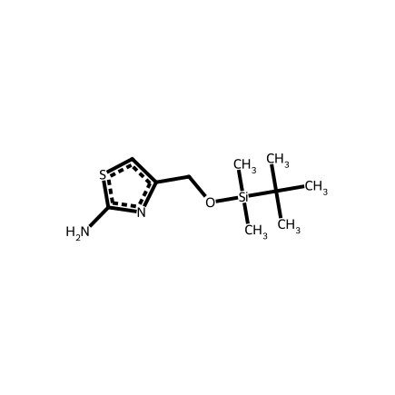 CC(C)(C)[Si](C)(C)OCc1csc(N)n1